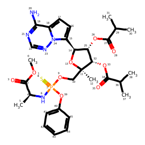 COC(=O)[C@H](C)NP(=S)(OC[C@@]1(C)O[C@@H](c2ccc3c(N)ncnn23)[C@H](OC(=O)C(C)C)[C@@H]1OC(=O)C(C)C)Oc1ccccc1